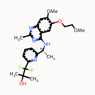 COCCOc1cc2c(N[C@H](C)c3cccc(C(F)(F)C(C)(C)O)n3)nc(C)nc2cc1OC